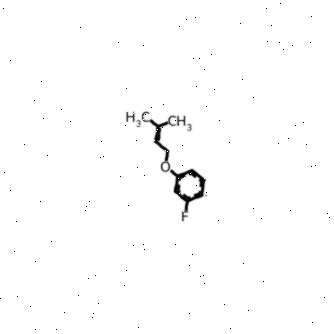 CC(C)=CCOc1cc[c]c(F)c1